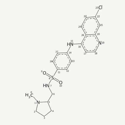 CN1CCCC1CNS(=O)(=O)c1ccc(Nc2ccnc3cc(Cl)ccc23)cc1